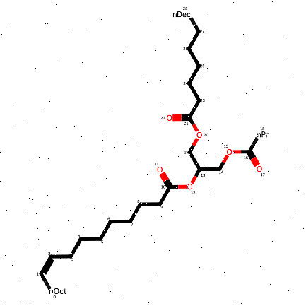 CCCCCCCC/C=C\CCCCCCCC(=O)OC(COC(=O)CCC)COC(=O)CCCCCCCCCCCCCCC